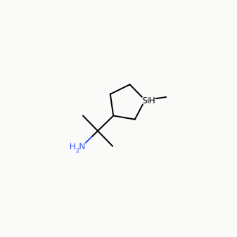 C[SiH]1CCC(C(C)(C)N)C1